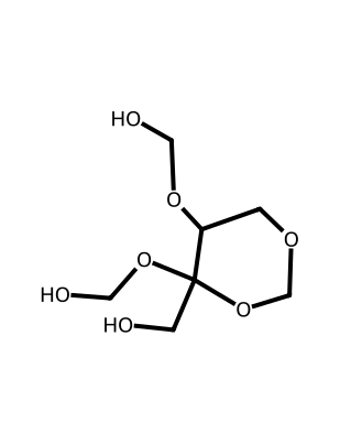 OCOC1COCOC1(CO)OCO